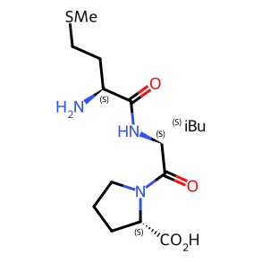 CC[C@H](C)[C@H](NC(=O)[C@@H](N)CCSC)C(=O)N1CCC[C@H]1C(=O)O